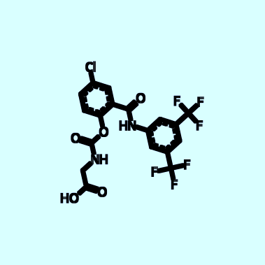 O=C(O)CNC(=O)Oc1ccc(Cl)cc1C(=O)Nc1cc(C(F)(F)F)cc(C(F)(F)F)c1